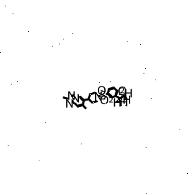 [2H]C1([2H])Oc2ccc(S(=O)(=O)N3CCC(c4cn5nc(C)nc5cc4C)CC3)cc2C1([2H])[2H]